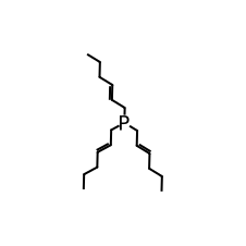 CCCC=CCP(CC=CCCC)CC=CCCC